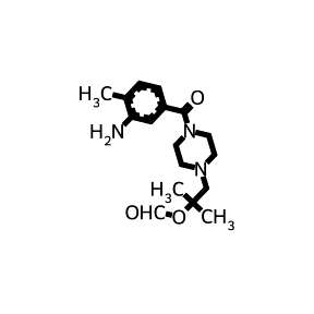 Cc1ccc(C(=O)N2CCN(CC(C)(C)OC=O)CC2)cc1N